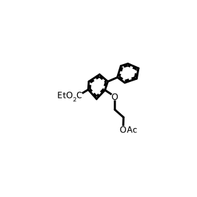 CCOC(=O)c1ccc(-c2ccccc2)c(OCCOC(C)=O)c1